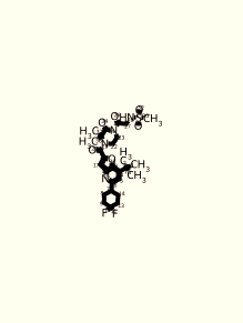 CC(C)(C)c1cc(C2CCC(F)(F)CC2)nc2cc(C(=O)N3CCN(C(=O)CNS(C)(=O)=O)C(=O)C3(C)C)oc12